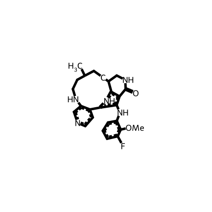 COc1c(F)cccc1Nc1c2[nH]c3c1C(=O)NCC3CCC(C)CCNc1cnccc1-2